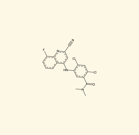 CN(C)C(=O)c1cc(Nc2cc(C#N)nc3c(F)cccc23)c(Cl)cc1Cl